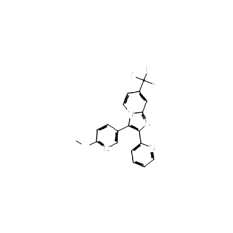 COc1ccc(-c2c(-c3ccccn3)nc3cc(C(F)(F)F)ccn23)cn1